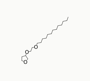 CCCCCCCCCCCCCOCCOC1CCOC1